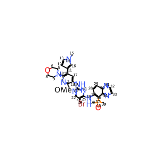 COc1nc(N2CCOCC2)c(-c2ccn(C)c2)cc1Nc1ncc(Br)c(Nc2ccc3nccnc3c2P(C)(C)=O)n1